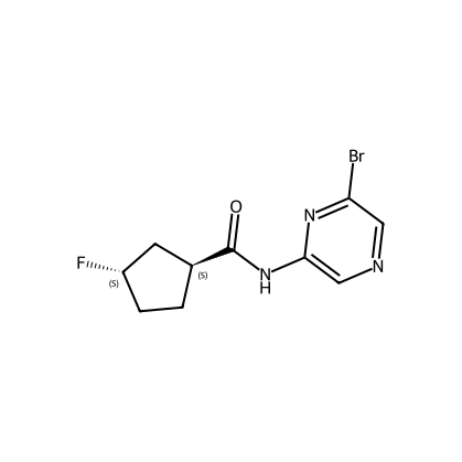 O=C(Nc1cncc(Br)n1)[C@H]1CC[C@H](F)C1